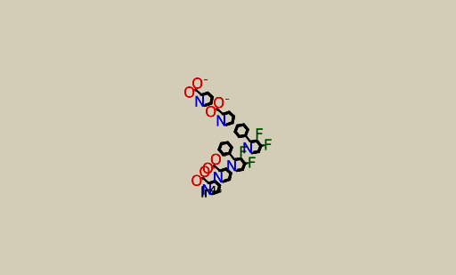 Fc1ccnc(-c2ccccc2)c1F.Fc1ccnc(-c2ccccc2)c1F.O=C([O-])c1ccccn1.O=C([O-])c1ccccn1.O=C([O-])c1ccccn1.O=C([O-])c1ccccn1.[Ir+4]